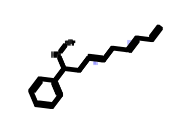 C=C/C=C/C/C=C/CC(NCCC)c1ccccc1